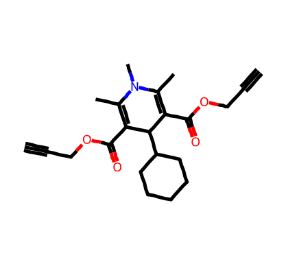 C#CCOC(=O)C1=C(C)N(C)C(C)=C(C(=O)OCC#C)C1C1CCCCC1